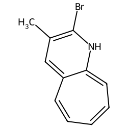 CC1=C(Br)NC2=CC=CC=CC2=C1